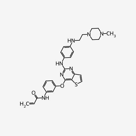 C=CC(=O)Nc1cccc(Oc2nc(Nc3ccc(NCCN4CCN(C)CC4)cc3)nc3ccsc23)c1